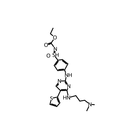 CCOC(=O)/N=[SH](=O)/c1ccc(Nc2ncc(-c3cccs3)c(NCCCN(C)C)n2)cc1